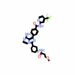 COCCC(=O)N[C@@H]1CCCC(c2nc(-c3ccc(C(=O)Nc4cc(C(F)(F)F)ccn4)cc3)c3c(N)nccn23)C1